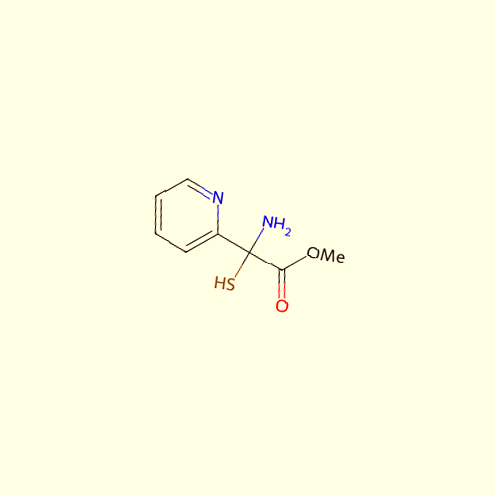 COC(=O)C(N)(S)c1ccccn1